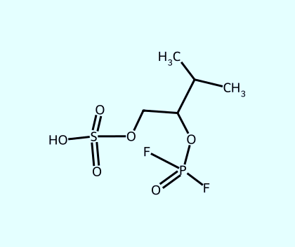 CC(C)C(COS(=O)(=O)O)OP(=O)(F)F